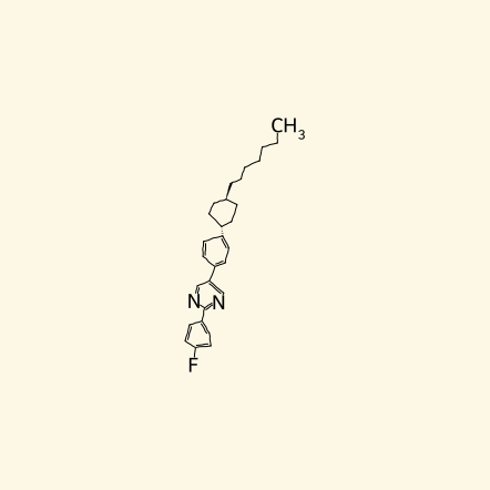 CCCCCCC[C@H]1CC[C@H](c2ccc(-c3cnc(-c4ccc(F)cc4)nc3)cc2)CC1